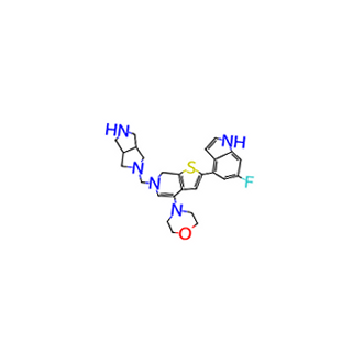 Fc1cc(-c2cc3c(s2)CN(CN2CC4CNCC4C2)C=C3N2CCOCC2)c2cc[nH]c2c1